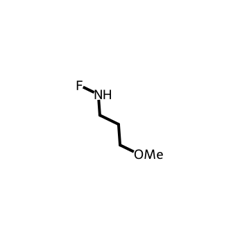 COCCCNF